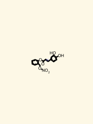 O=C(/C=C/c1ccc(O)c(O)c1)Oc1ccccc1CO[N+](=O)[O-]